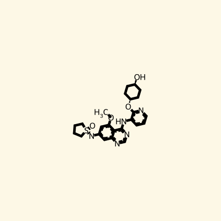 COc1cc(N=S2(=O)CCCC2)cc2ncnc(Nc3cccnc3O[C@H]3CC[C@H](O)CC3)c12